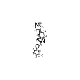 Cc1cccc(OCc2nc3ccc(-c4ccncc4)cc3s2)c1